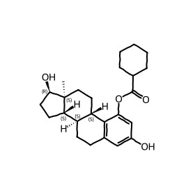 C[C@]12CC[C@@H]3c4c(cc(O)cc4OC(=O)C4CCCCC4)CC[C@H]3[C@@H]1CC[C@H]2O